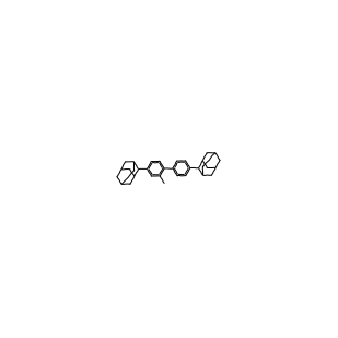 Cc1cc(C2C3CC4CC(C3)CC2C4)ccc1-c1ccc(C2C3CC4CC(C3)CC2C4)cc1